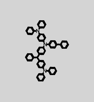 C1=CC(N(c2ccc(-c3ccccc3)cc2)c2ccc(N(c3ccccc3)c3ccccc3)cc2)CC=C1C(c1ccccc1)c1ccc(N(c2ccccc2)c2ccccc2)cc1